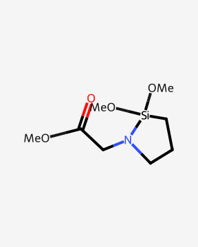 COC(=O)CN1CCC[Si]1(OC)OC